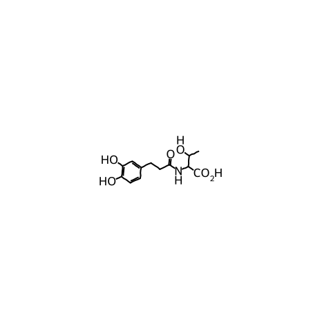 CC(O)C(NC(=O)CCc1ccc(O)c(O)c1)C(=O)O